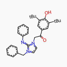 CC(C)(C)c1cc(C(=O)Cn2ccn(Cc3ccccc3)c2=Nc2ccccc2)cc(C(C)(C)C)c1O